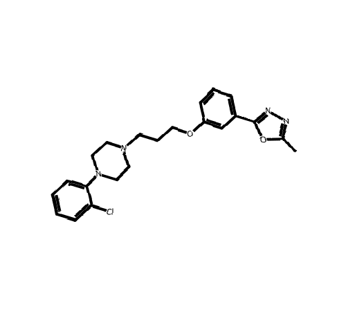 Cc1nnc(-c2cccc(OCCCN3CCN(c4ccccc4Cl)CC3)c2)o1